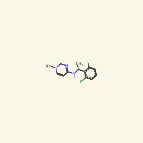 CC(C)N1C=CC(N[C@@H](C)c2c(F)cccc2F)=NC1